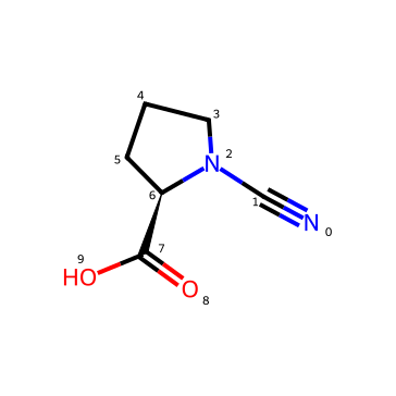 N#CN1CCC[C@@H]1C(=O)O